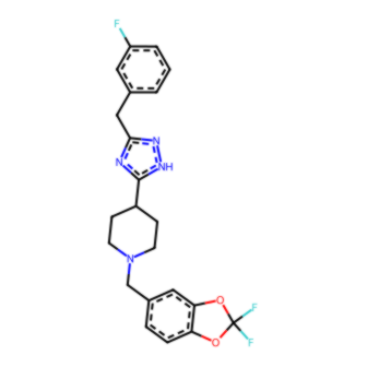 Fc1cccc(Cc2n[nH]c(C3CCN(Cc4ccc5c(c4)OC(F)(F)O5)CC3)n2)c1